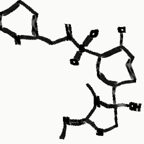 C/N=C1\SCC(O)(c2ccc(Cl)c(S(=O)(=O)NCc3ccccn3)c2)N1C